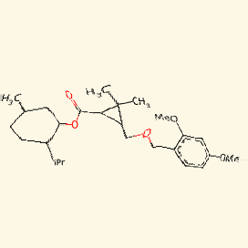 COc1ccc(COCC2C(C(=O)OC3CC(C)CCC3C(C)C)C2(C)C)c(OC)c1